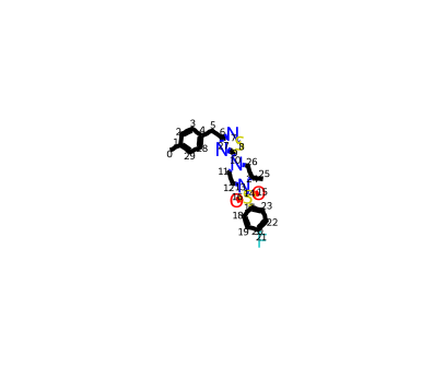 Cc1ccc(Cc2nsc(N3CCN(S(=O)(=O)c4ccc(F)cc4)C(C)C3)n2)cc1